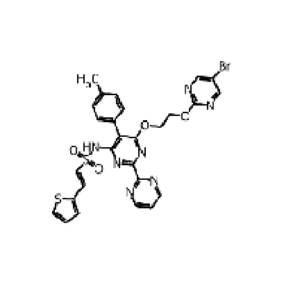 Cc1ccc(-c2c(NS(=O)(=O)C=Cc3cccs3)nc(-c3ncccn3)nc2OCCOc2ncc(Br)cn2)cc1